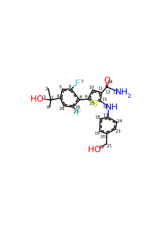 CC(C)(O)c1cc(F)c(-c2cc(C(N)=O)c(Nc3ccc(CO)cc3)s2)c(F)c1